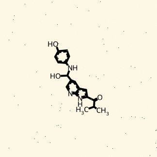 CC(C)C(=O)c1cc2cc(C(O)Nc3ccc(O)cc3)cnc2[nH]1